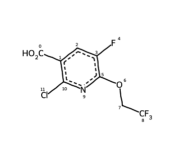 O=C(O)c1cc(F)c(OCC(F)(F)F)nc1Cl